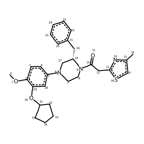 COc1ccc(N2CCN(C(=O)Cc3nc(C)cs3)[C@@H](Cc3ccccc3)C2)cc1OC1CCCC1